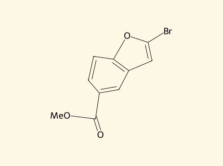 COC(=O)c1ccc2oc(Br)cc2c1